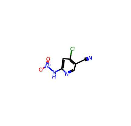 N#Cc1cnc(N[N+](=O)[O-])cc1Cl